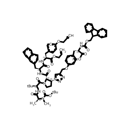 C#CCOc1ccc(C[C@H](NC(=O)[C@H](Cc2ccc3ccccc3c2)NC(=O)[C@@H]2[C@H](n3cc(COc4ccc(C[C@H](NC(=O)OCC5c6ccccc6-c6ccccc65)C(=O)OC)cc4)nn3)CCN2C(=O)[C@@H](NC(=O)[C@H](C)N(C)C(=O)OC(C)(C)C)C(C)(C)C)C(=O)OCC=C)cc1